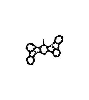 Ic1c2c3cccc4c5ccccc5n(c2cc2c5cccc6c7ccccc7n(c12)c65)c43